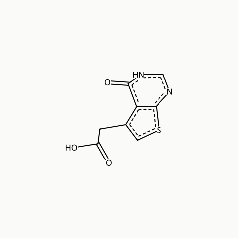 O=C(O)Cc1csc2nc[nH]c(=O)c12